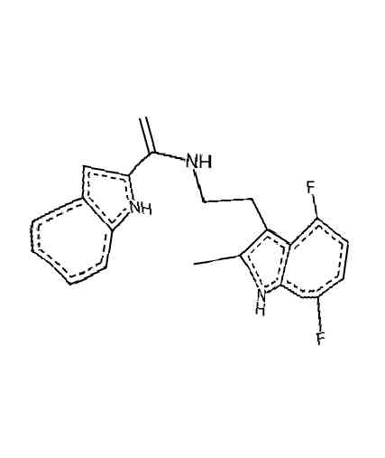 C=C(NCCc1c(C)[nH]c2c(F)ccc(F)c12)c1cc2ccccc2[nH]1